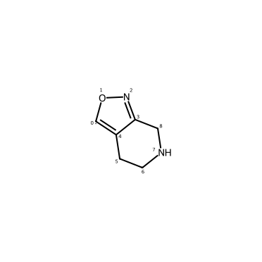 [c]1onc2c1CCNC2